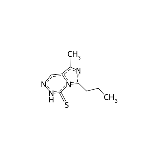 CCCc1nc(C)c2cn[nH]c(=S)n12